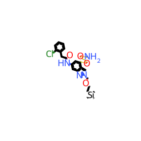 C[Si](C)(C)CCOCn1cc2c(S(N)(=O)=O)cc(NC(=O)Cc3ccccc3Cl)cc2n1